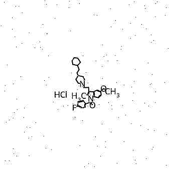 COc1ccc2c(c1)c(CCN1CCC(CCC3CCCCC3)CC1)c(C)n2C(=O)c1ccc(F)cc1.Cl